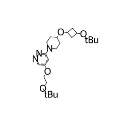 CC(C)(C)OCCOc1cnnc(N2CCC(OC3CC(OC(C)(C)C)C3)CC2)c1